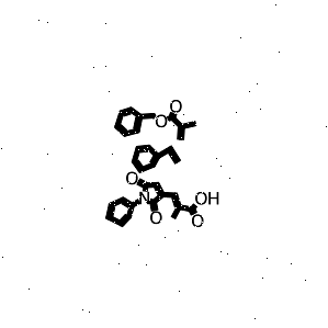 C=C(C)C(=O)OCc1ccccc1.C=Cc1ccccc1.CC(=CC1=CC(=O)N(c2ccccc2)C1=O)C(=O)O